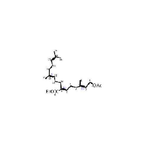 CCOC(=O)/C(=C/CC/C(C)=C/COC(C)=O)CC/C=C(\C)CCC=C(C)C